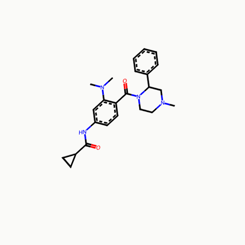 CN1CCN(C(=O)c2ccc(NC(=O)C3CC3)cc2N(C)C)C(c2ccccc2)C1